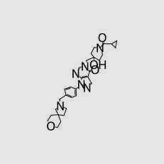 O=C(C1CC1)N1CCC(O)(Cn2cnc3c(cnn3-c3ccc(CN4CCC5(CCOCC5)C4)cc3)c2=O)CC1